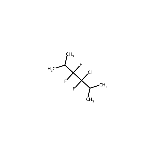 CC(C)C(F)(F)C(F)(Cl)C(C)C